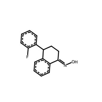 ON=C1CCC(c2ccccc2F)c2ccccc21